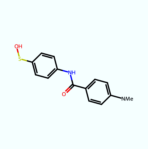 CNc1ccc(C(=O)Nc2ccc(SO)cc2)cc1